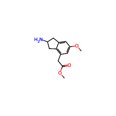 COC(=O)Cc1cc(OC)cc2c1CC(N)C2